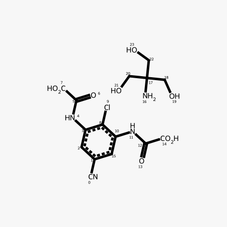 N#Cc1cc(NC(=O)C(=O)O)c(Cl)c(NC(=O)C(=O)O)c1.NC(CO)(CO)CO